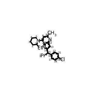 [CH2][CH]C1CCCCN1c1cc(C)nc2cc(C(c3ccc(Cl)cc3)C(C)C)nn12